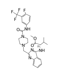 COC(=O)[C@@H](Nc1nc(CN2CCN(C(=O)Nc3ccc(F)c(C(F)(F)F)c3)CC2)nc2ccccc12)C(C)C